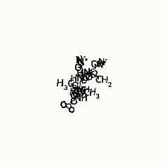 C=CCOC(=O)[C@H](CCC(=O)C=[N+]=[N-])NC(=O)[C@H](CCC(=O)C=[N+]=[N-])NC(=O)CC[C@H](NC(=O)[C@H](CC(C)C)NC(=O)OCC1c2ccccc2-c2ccccc21)C(=O)OCC